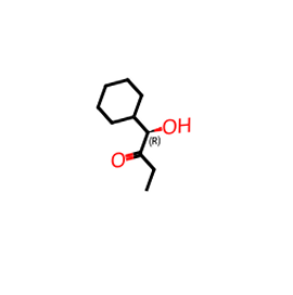 CCC(=O)[C@H](O)C1CCCCC1